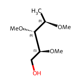 CO[C@@H]([C@H](CO)OC)[C@@H](C)OC